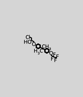 CC(C)(c1ccc(OCC(O)CCl)cc1)c1ccc(OCC(F)(F)C(F)F)cc1